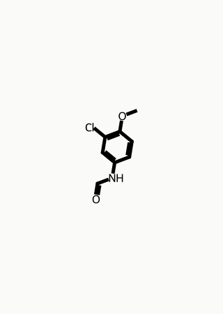 COc1ccc(NC=O)cc1Cl